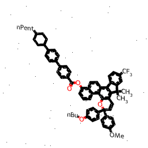 CCCCCC1CCC(c2ccc(-c3ccc(C(=O)Oc4cccc5c4ccc4c6c(c7c(c45)OC(c4ccc(OC)cc4)(c4ccc(OCCCC)cc4)C=C7)C(C)(C)c4cc(C(F)(F)F)ccc4-6)cc3)cc2)CC1